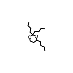 CCCCC1CCOC(CCCC)(CCCC)O1